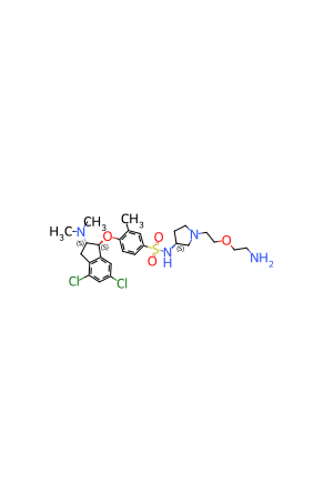 Cc1cc(S(=O)(=O)N[C@H]2CCN(CCOCCN)C2)ccc1O[C@H]1c2cc(Cl)cc(Cl)c2C[C@@H]1N(C)C